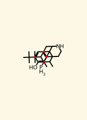 Cc1c(O)ccc2c1C13CCNC(C2)C12CCC(P)(C(C(C)(C)C(C)(C)C)C2)C3C